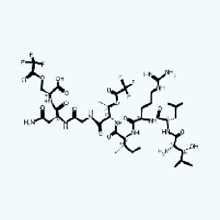 CC[C@H](C)[C@H](NC(=O)[C@@H](CCCNC(=N)N)NC(=O)[C@H](CC(C)C)NC(=O)[C@@H](N)[C@H](O)C(C)C)C(=O)N[C@H](C(=O)NCC(=O)N[C@@H](CC(N)=O)C(=O)N[C@@H](COC(=O)C(F)(F)F)C(=O)O)[C@H](C)OC(=O)C(F)(F)F